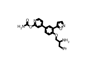 CC(C)CC(N)COc1ccc(-c2ccnc(OC(N)=O)c2)cc1-c1ccno1